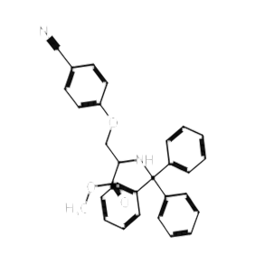 COC(=O)C(COc1ccc(C#N)cc1)NC(c1ccccc1)(c1ccccc1)c1ccccc1